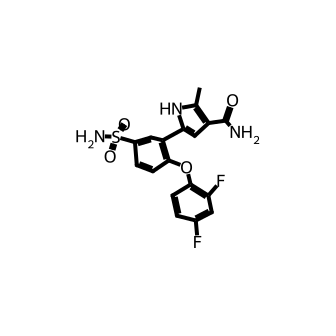 Cc1[nH]c(-c2cc(S(N)(=O)=O)ccc2Oc2ccc(F)cc2F)cc1C(N)=O